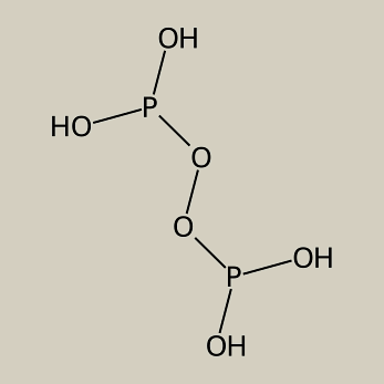 OP(O)OOP(O)O